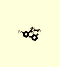 Cc1cccc(C)c1-n1c(-c2cccc(Br)c2)nnc1C(C)C